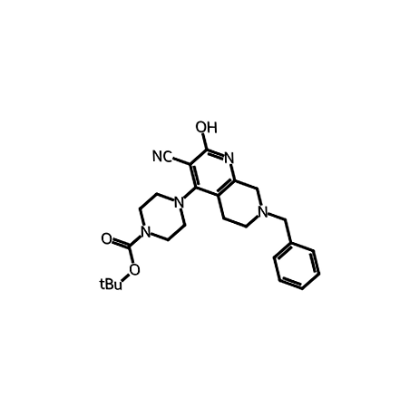 CC(C)(C)OC(=O)N1CCN(c2c(C#N)c(O)nc3c2CCN(Cc2ccccc2)C3)CC1